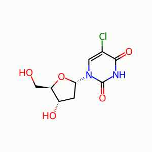 O=c1[nH]c(=O)n([C@@H]2C[C@H](O)[C@@H](CO)O2)cc1Cl